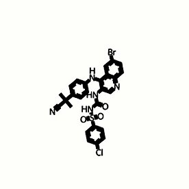 CC(C)(C#N)c1ccc(Nc2c(NC(=O)NS(=O)(=O)c3ccc(Cl)cc3)cnc3ccc(Br)cc23)cc1